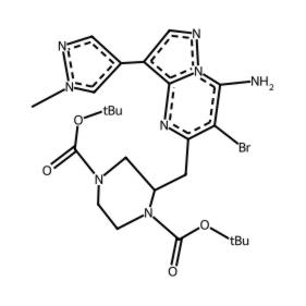 Cn1cc(-c2cnn3c(N)c(Br)c(CC4CN(C(=O)OC(C)(C)C)CCN4C(=O)OC(C)(C)C)nc23)cn1